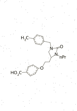 CCCN1C(=O)N(Cc2ccc(C)cc2)CC1CCOc1ccc(C(=O)O)cc1